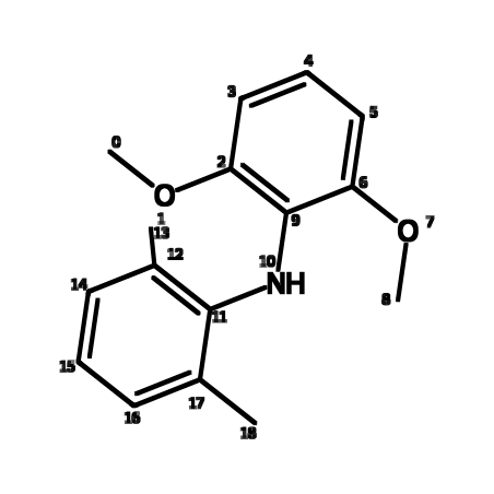 COc1cccc(OC)c1Nc1c(C)cccc1C